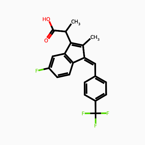 CC1=C(C(C)C(=O)O)c2cc(F)ccc2/C1=C\c1ccc(C(F)(F)F)cc1